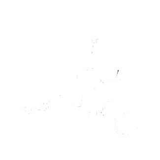 C=C(CCC(F)(F)F)N1[C@@H](c2c(F)cc(/C=C/C(=O)O)cc2F)c2[nH]c3ccccc3c2C[C@@H]1C